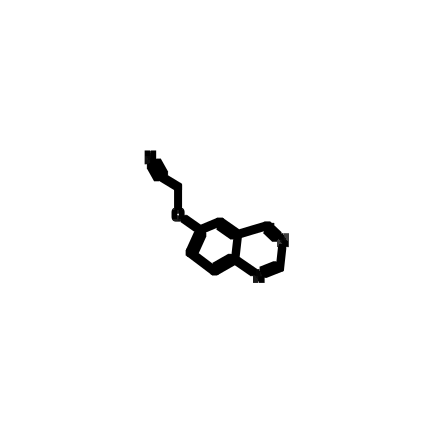 N#CCOc1ccc2ncn[c]c2c1